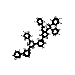 c1ccc(-c2cccc(-c3cc(-c4cccc(-c5ccc6c(c5)cc(-c5ccccc5)n5nc(-c7ccccc7)c(-c7ccccc7)c65)c4)nc(-c4ccccc4)n3)c2)cc1